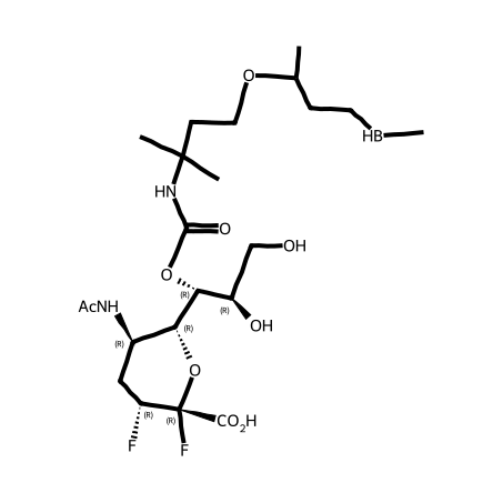 CBCCC(C)OCCC(C)(C)NC(=O)O[C@@H]([C@@H]1O[C@@](F)(C(=O)O)[C@H](F)C[C@H]1NC(C)=O)[C@H](O)CO